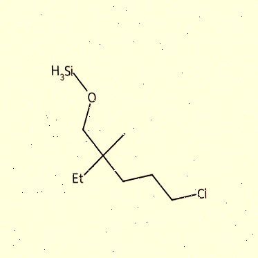 CCC(C)(CCCCl)CO[SiH3]